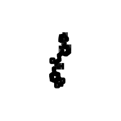 O=C(CCc1ccnc(-n2ccnc2)n1)NCc1ccc2c(c1)OCO2